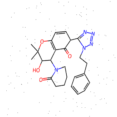 CC1(C)OC2=C(C(=O)C(c3nnnn3CCc3ccccc3)C=C2)C(N2CCCCC2=O)C1O